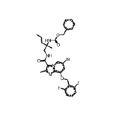 CCCC(C)(CNC(=O)c1c(C)nc2c(OCc3c(F)cccc3F)cc(Br)cn12)NC(=O)OCc1ccccc1